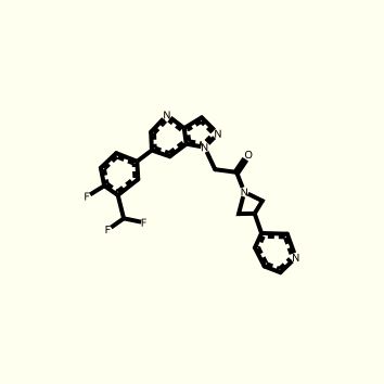 O=C(Cn1ncc2ncc(-c3ccc(F)c(C(F)F)c3)cc21)N1CC(c2cccnc2)C1